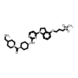 CS(=O)(=O)CCCOc1cccc2c1CCN2c1ccnc(N[C@H]2CC[C@H](C(=O)N3CCC(CN)CC3)CC2)n1